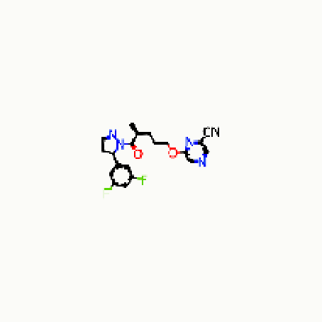 C=C(CCCOc1cncc(C#N)n1)C(=O)N1N=CCC1c1cc(F)cc(F)c1